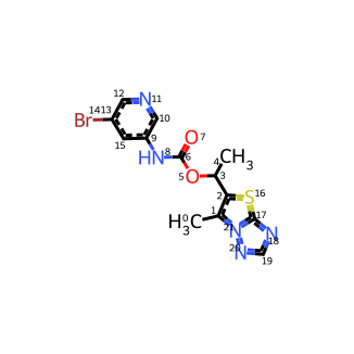 Cc1c(C(C)OC(=O)Nc2cncc(Br)c2)sc2ncnn12